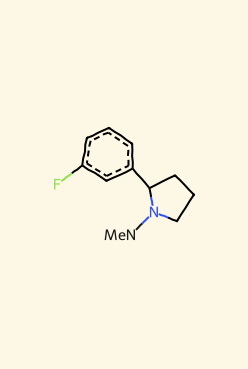 CNN1CCCC1c1cccc(F)c1